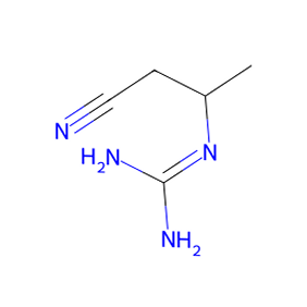 CC(CC#N)N=C(N)N